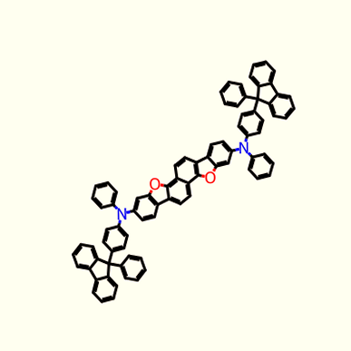 c1ccc(N(c2ccc(C3(c4ccccc4)c4ccccc4-c4ccccc43)cc2)c2ccc3c(c2)oc2c3ccc3c2ccc2c4ccc(N(c5ccccc5)c5ccc(C6(c7ccccc7)c7ccccc7-c7ccccc76)cc5)cc4oc23)cc1